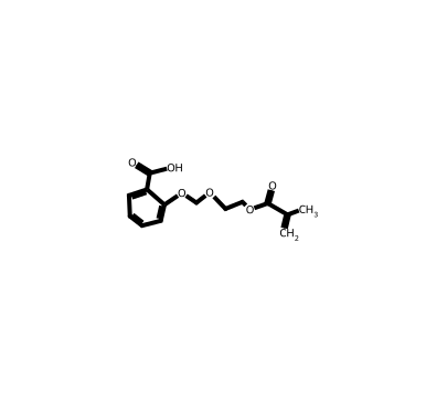 C=C(C)C(=O)OCCOCOc1ccccc1C(=O)O